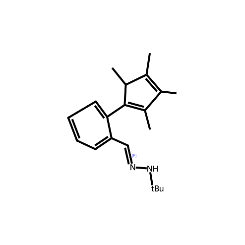 CC1=C(C)C(C)C(c2ccccc2/C=N/NC(C)(C)C)=C1C